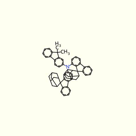 CC1(C)c2ccccc2-c2ccc(N(c3ccc4c(c3)C3(c5ccccc5-4)C4CC5CC(C4)CC3C5)c3cccc4c3C3(c5ccccc5-4)C4CC5CC(C4)CC3C5)cc21